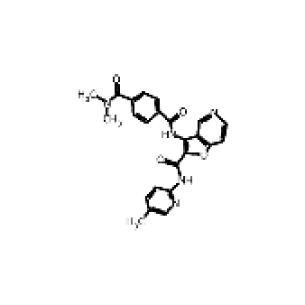 Cc1ccc(NC(=O)c2oc3ccncc3c2NC(=O)c2ccc(C(=O)N(C)C)cc2)nc1